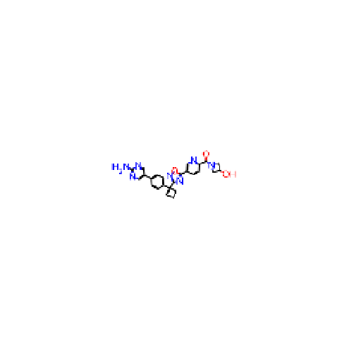 Nc1ncc(-c2ccc(C3(c4noc(-c5ccc(C(=O)N6CC(O)C6)nc5)n4)CCC3)cc2)cn1